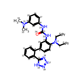 CC(C)CN(CC(C)C)c1ccc(-c2ccccc2-c2nnn[nH]2)cc1NC(=O)Nc1cccc(N(C)C)c1